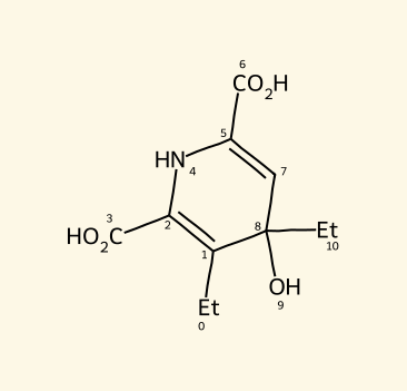 CCC1=C(C(=O)O)NC(C(=O)O)=CC1(O)CC